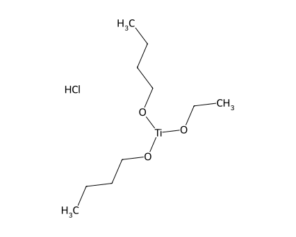 CCCC[O][Ti]([O]CC)[O]CCCC.Cl